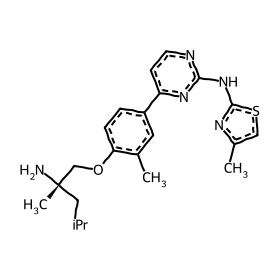 Cc1csc(Nc2nccc(-c3ccc(OC[C@@](C)(N)CC(C)C)c(C)c3)n2)n1